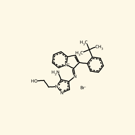 CC(C)(C)c1ccccc1C1=Cc2cccc[n+]2/C1=N\c1cnn(CCO)c1N.[Br-]